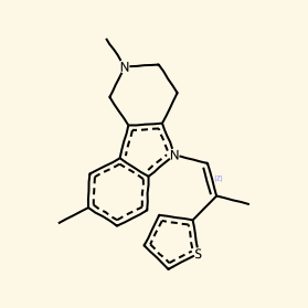 C/C(=C/n1c2c(c3cc(C)ccc31)CN(C)CC2)c1cccs1